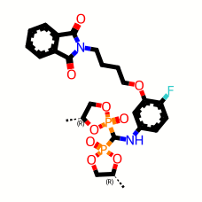 C[C@@H]1COP(=O)(C(Nc2ccc(F)c(OCCCCN3C(=O)c4ccccc4C3=O)c2)P2(=O)OC[C@@H](C)O2)O1